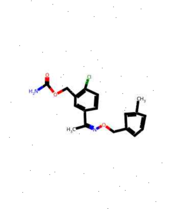 CC(=NOCc1cccc(C)c1)c1ccc(Cl)c(COC(N)=O)c1